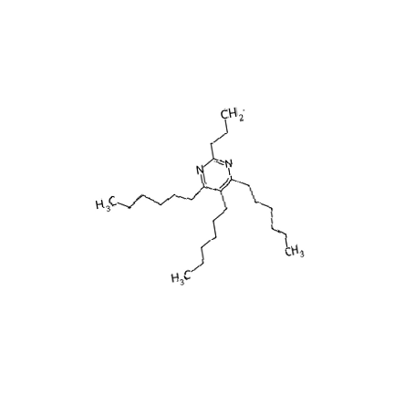 [CH2]CCc1nc(CCCCCC)c(CCCCCC)c(CCCCCC)n1